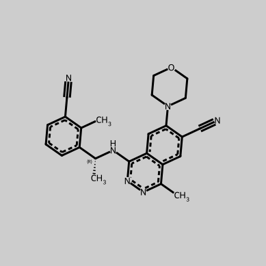 Cc1c(C#N)cccc1[C@@H](C)Nc1nnc(C)c2cc(C#N)c(N3CCOCC3)cc12